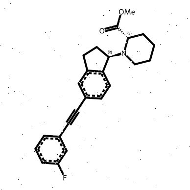 COC(=O)[C@@H]1CCCCN1[C@@H]1CCc2cc(C#Cc3cccc(F)c3)ccc21